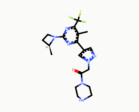 Cc1c(-c2cnn(CC(=O)N3CCNCC3)c2)nc(N2CC[C@@H]2C)nc1C(F)(F)F